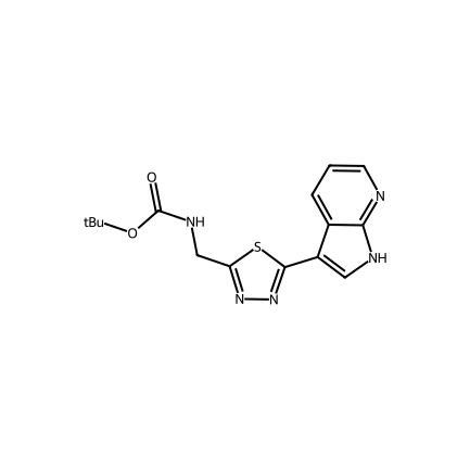 CC(C)(C)OC(=O)NCc1nnc(-c2c[nH]c3ncccc23)s1